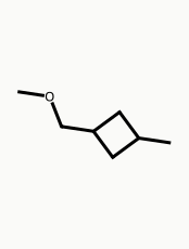 COCC1CC(C)C1